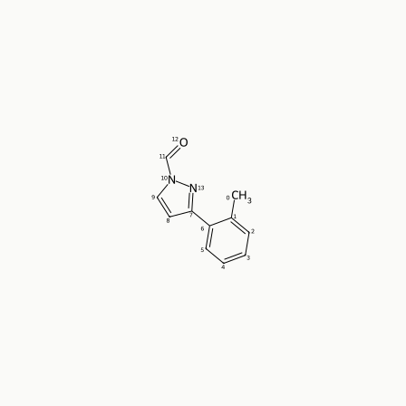 Cc1ccccc1-c1ccn(C=O)n1